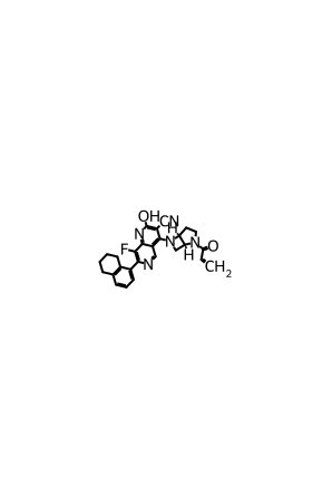 C=CC(=O)N1CC[C@@H]2[C@H]1CN2c1c(C#N)c(O)nc2c(F)c(-c3cccc4c3CCCC4)ncc12